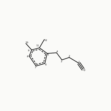 [C]#CCCCc1cccc(C)c1C